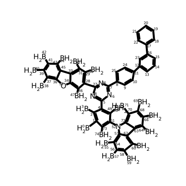 Bc1c(B)c(-c2nc(-c3ccc(-c4cccc(-c5ccccc5)c4)cc3)nc(-c3c(B)c(B)c4c(oc5c(B)c(B)c(B)c(B)c54)c3B)n2)c(B)c(-n2c3c(B)c(B)c(B)c(B)c3c3c(B)c(B)c(B)c(B)c32)c1B